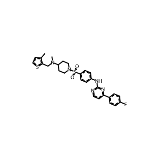 Cc1ccsc1CN(C)C1CCN(S(=O)(=O)c2ccc(Nc3nccc(-c4ccc(F)cc4)n3)cc2)CC1